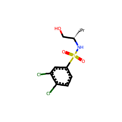 CC(C)[C@@H](CO)NS(=O)(=O)c1ccc(Cl)c(Cl)c1